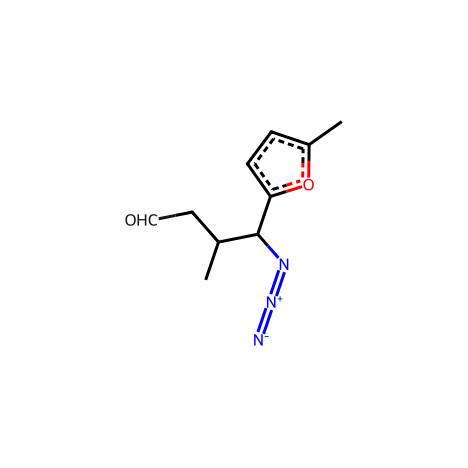 Cc1ccc(C(N=[N+]=[N-])C(C)CC=O)o1